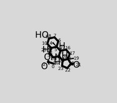 CC(=O)O.C[C@]12CC[C@@H](O)C[C@@H]1CC[C@@H]1[C@@H]2CC[C@]2(C)C(=O)CC[C@@H]12